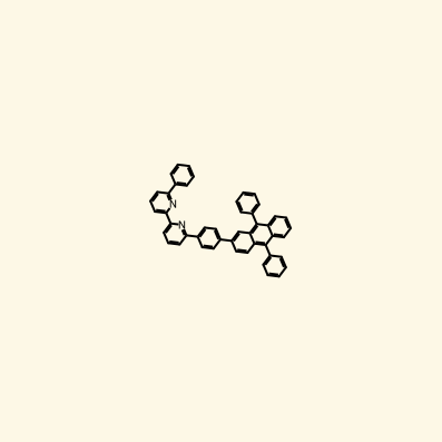 c1ccc(-c2cccc(-c3cccc(-c4ccc(-c5ccc6c(-c7ccccc7)c7ccccc7c(-c7ccccc7)c6c5)cc4)n3)n2)cc1